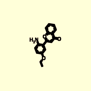 CCOc1ccc(N)c(-c2cc(=O)c3ccccc3o2)c1